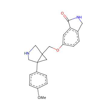 COc1ccc(C23CNCC2(COc2ccc4c(c2)C(=O)NC4)C3)cc1